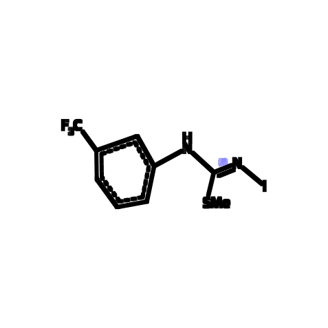 CS/C(=N\I)Nc1cccc(C(F)(F)F)c1